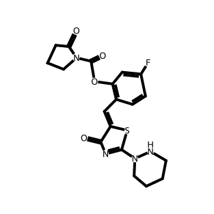 O=C1N=C(N2CCCCN2)SC1=Cc1ccc(F)cc1OC(=O)N1CCCC1=O